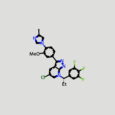 CC[C@@H](c1cc(F)c(F)c(F)c1)n1cc(Cl)cc2c(-c3ccc(-n4cnc(C)c4)c(OC)c3)nnc1-2